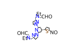 CCN(CC=O)Cc1ccn(-c2cc(-c3ccc(N=O)s3)cc(-n3ccc(CN(CC)CC=O)n3)n2)n1